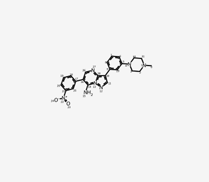 CN1CCN(c2cccc(-c3cnn4c(N)c(-c5cccc([N+](=O)[O-])c5)cnc34)c2)CC1